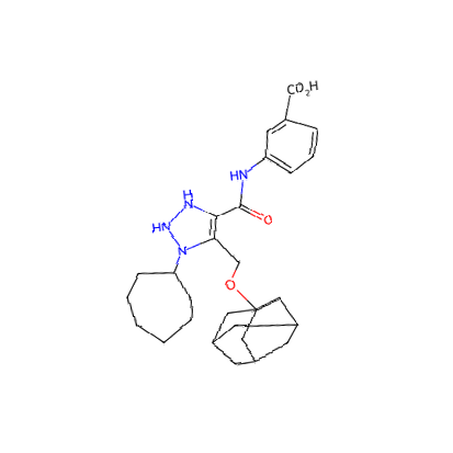 O=C(Nc1cccc(C(=O)O)c1)C1=C(COC23CC4CC(CC(C4)C2)C3)N(C2CCCCCC2)NN1